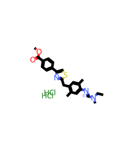 CCN(C)/C=N/c1cc(C)c(Cc2nc(-c3ccc(C(=O)OC)cc3)cs2)cc1C.Cl.Cl